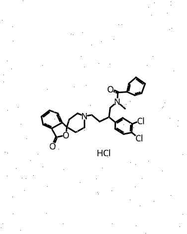 CN(CC(CCN1CCC2(CC1)OC(=O)c1ccccc12)c1ccc(Cl)c(Cl)c1)C(=O)c1ccccc1.Cl